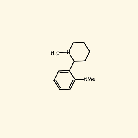 CNc1ccccc1C1CCCCN1C